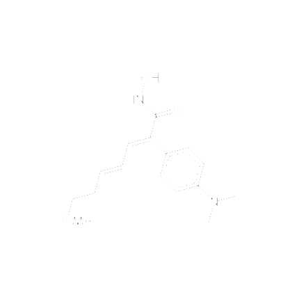 COCC/C=C/C=C(/C(=O)NO)c1ccc(N(C)C)cc1